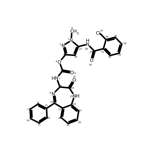 Cn1nc(OC(=O)NC2N=C(c3ccccc3)c3ccccc3NC2=O)cc1NC(=O)c1ccccc1Cl